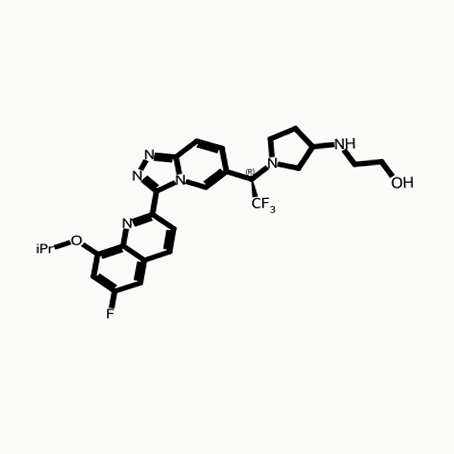 CC(C)Oc1cc(F)cc2ccc(-c3nnc4ccc([C@@H](N5CCC(NCCO)C5)C(F)(F)F)cn34)nc12